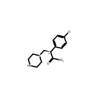 NC(=O)[C@@H](CN1CCNCC1)c1ccc(Cl)cc1